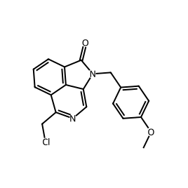 COc1ccc(CN2C(=O)c3cccc4c(CCl)ncc2c34)cc1